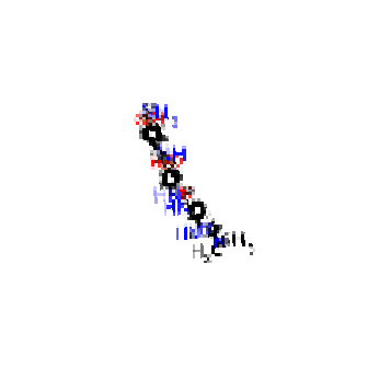 CN(C)C1CCN(C(=N)c2cccc(NC(=O)Nc3ccc(S(=O)(=O)NCc4ccc(S(N)(=O)=O)cc4)cc3)c2)C1